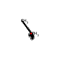 CCCCCCCCCCCCCCCC[CH]CC(C)c1ccc(C(F)(F)F)cc1C(F)(F)F